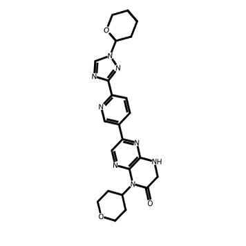 O=C1CNc2nc(-c3ccc(-c4ncn(C5CCCCO5)n4)nc3)cnc2N1C1CCOCC1